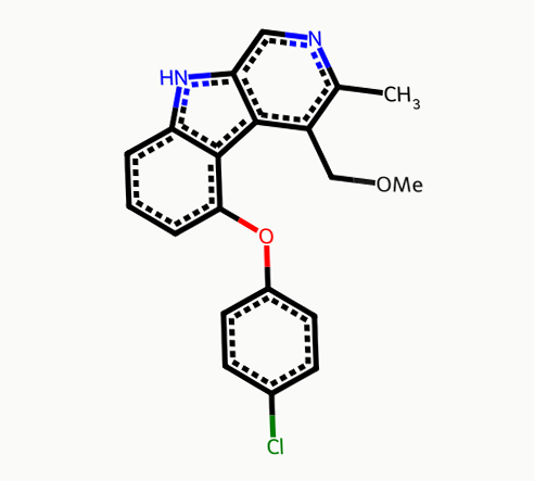 COCc1c(C)ncc2[nH]c3cccc(Oc4ccc(Cl)cc4)c3c12